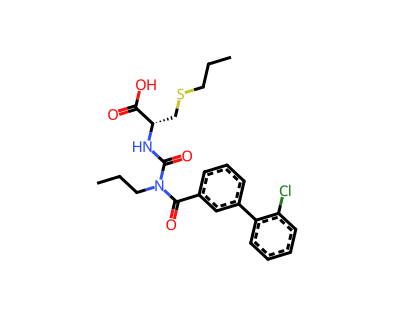 CCCSC[C@H](NC(=O)N(CCC)C(=O)c1cccc(-c2ccccc2Cl)c1)C(=O)O